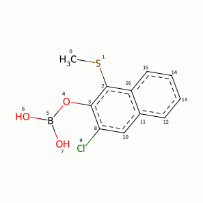 CSc1c(OB(O)O)c(Cl)cc2ccccc12